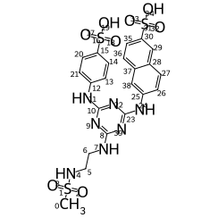 CS(=O)(=O)NCCNc1nc(Nc2ccc(S(=O)(=O)O)cc2)nc(Nc2ccc3cc(S(=O)(=O)O)ccc3c2)n1